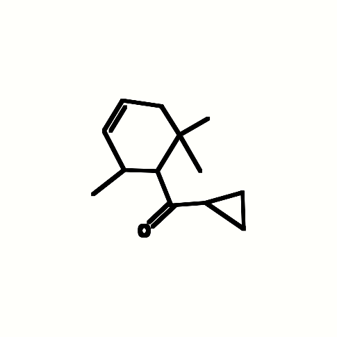 CC1C=CCC(C)(C)C1C(=O)C1CC1